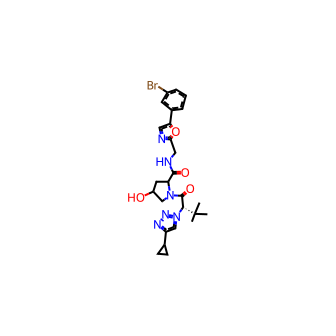 CC(C)(C)[C@@H](C(=O)N1CC(O)CC1C(=O)NCc1ncc(-c2cccc(Br)c2)o1)n1cc(C2CC2)nn1